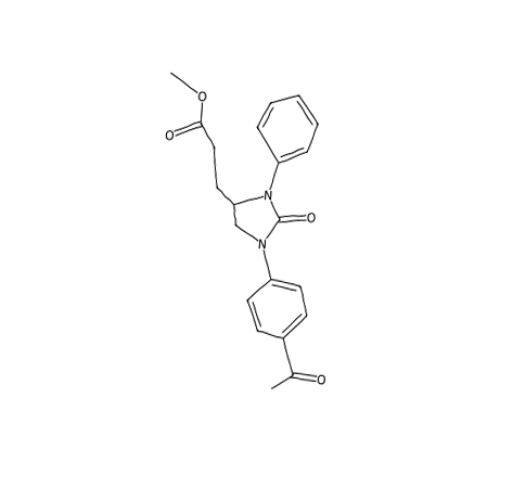 COC(=O)CCC1CN(c2ccc(C(C)=O)cc2)C(=O)N1c1ccccc1